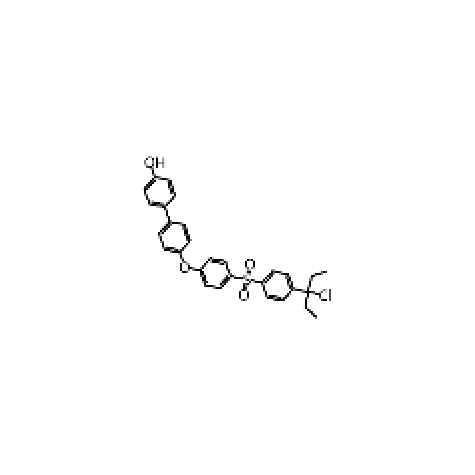 CCC(Cl)(CC)c1ccc(S(=O)(=O)c2ccc(Oc3ccc(-c4ccc(O)cc4)cc3)cc2)cc1